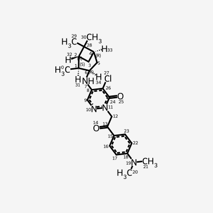 C[C@H]1[C@H]2C[C@H](C[C@H]1Nc1cnn(CC(=O)c3ccc(N(C)C)cc3)c(=O)c1Cl)C2(C)C